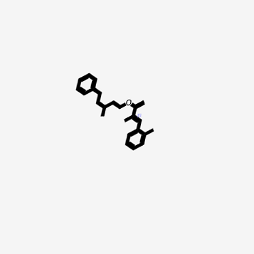 C=C(OCCC(C)CCc1ccccc1)/C(C)=C/c1ccccc1C